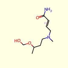 CC(CCN(C)C/C=C/C(N)=O)OCO